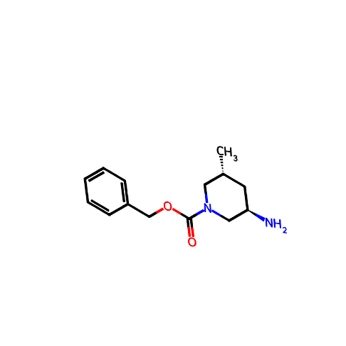 C[C@@H]1C[C@@H](N)CN(C(=O)OCc2ccccc2)C1